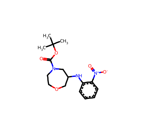 CC(C)(C)OC(=O)N1CCOCC(Nc2ccccc2[N+](=O)[O-])C1